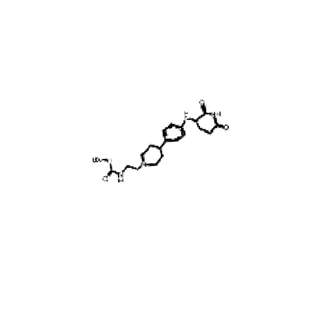 CC(C)(C)OC(=O)NCCN1CCC(c2ccc(NC3CCC(=O)NC3=O)cc2)CC1